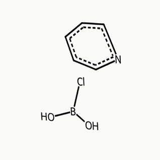 OB(O)Cl.c1ccncc1